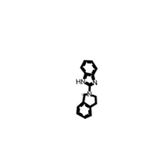 [C]1c2ccccc2CCN1c1nc2ccccc2[nH]1